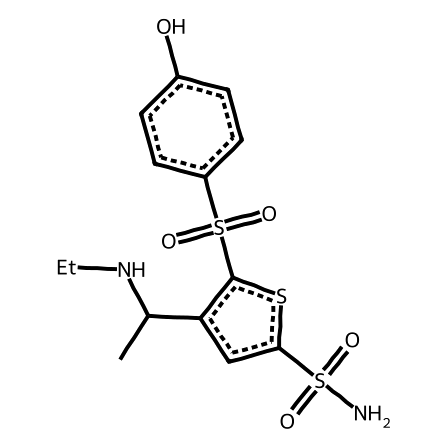 CCNC(C)c1cc(S(N)(=O)=O)sc1S(=O)(=O)c1ccc(O)cc1